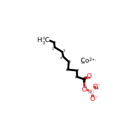 CCCCCCCCCC(=O)OB([O-])[O-].[Co+2]